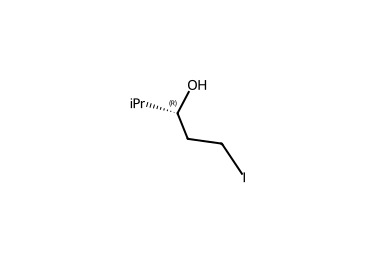 CC(C)[C@H](O)CCI